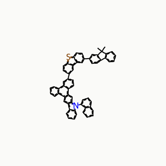 CC1(C)c2ccccc2-c2ccc(-c3ccc4sc5ccc(-c6ccc7c(c6)c6ccccc6c6cc8c9ccccc9n(-c9cccc%10ccccc9%10)c8cc76)cc5c4c3)cc21